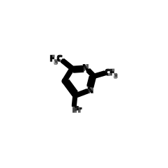 CC(C)c1cc(C(F)(F)F)nc(C(F)(F)F)n1